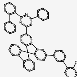 Cc1cnccc1-c1cccc(-c2ccc3c(c2)-c2cc(-c4cc(-c5ccccc5)nc(-c5ccccc5-c5ccccc5)n4)ccc2C32c3ccccc3-c3ccccc32)c1